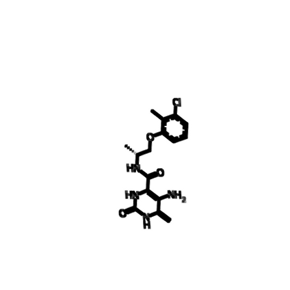 C=C1NC(=O)NC(C(=O)N[C@H](C)COc2cccc(Cl)c2C)=C1N